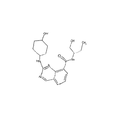 CC[C@@H](CO)NC(=O)c1cccc2cnc(NC3CCC(O)CC3)nc12